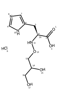 Cl.O=C(O)[C@H](Cc1cnc[nH]1)NOCC(O)CO